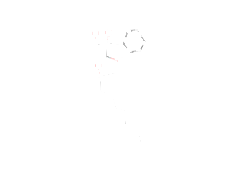 CCCCCCCCCC(C)(C)OC(=O)C1(c2ccccc2)OOC1C